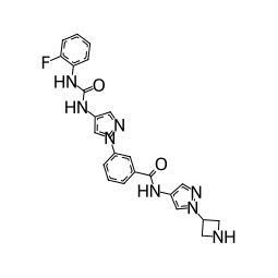 O=C(Nc1cnn(-c2cccc(C(=O)Nc3cnn(C4CNC4)c3)c2)c1)Nc1ccccc1F